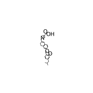 COc1cc(CC(C)C)ccc1COc1ccc2c(c1)CCC(CN1CC(C(=O)O)C1)=C2